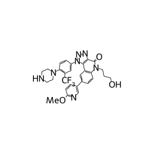 COc1ccc(-c2ccc3c(c2)c2c(nnn2-c2ccc(N4CCNCC4)c(C(F)(F)F)c2)c(=O)n3CCCO)cn1